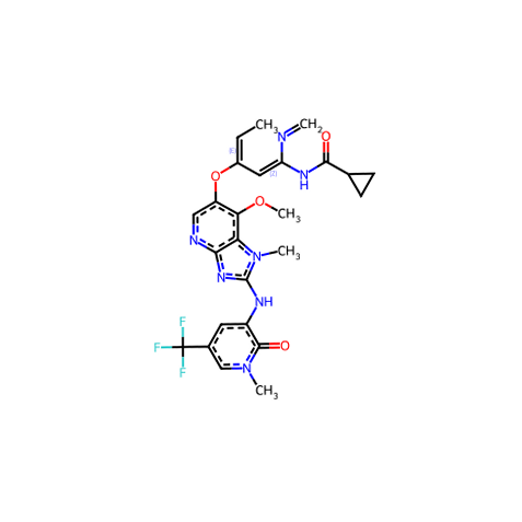 C=N/C(=C\C(=C/C)Oc1cnc2nc(Nc3cc(C(F)(F)F)cn(C)c3=O)n(C)c2c1OC)NC(=O)C1CC1